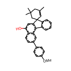 COc1ccc(-c2ccc3c(O)cc4c(c3c2)-c2ccccc2C42C=C(C)CC(C)(C)C2)cc1